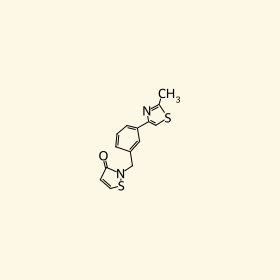 Cc1nc(-c2cccc(Cn3sccc3=O)c2)cs1